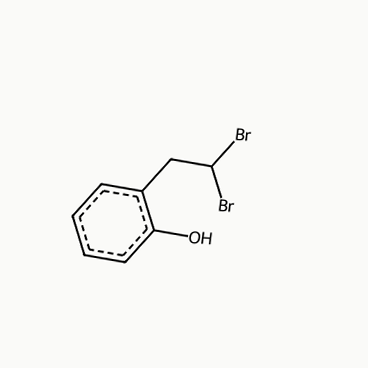 Oc1ccccc1CC(Br)Br